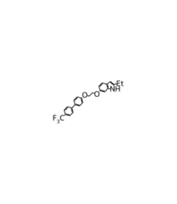 [CH]Cc1cc2ccc(OCCOc3ccc(-c4ccc(C(F)(F)F)cc4)cc3)cc2[nH]1